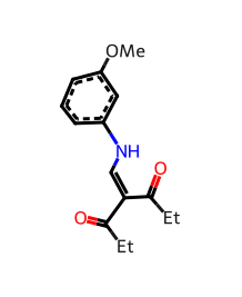 CCC(=O)C(=CNc1cccc(OC)c1)C(=O)CC